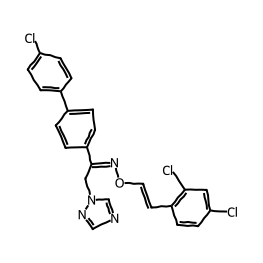 Clc1ccc(-c2ccc(C(Cn3cncn3)=NOC=Cc3ccc(Cl)cc3Cl)cc2)cc1